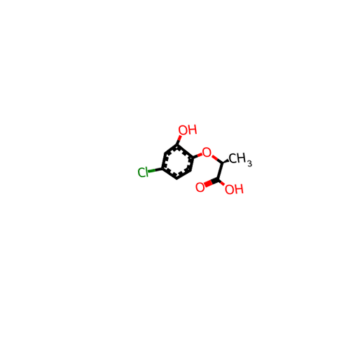 C[C@H](Oc1ccc(Cl)cc1O)C(=O)O